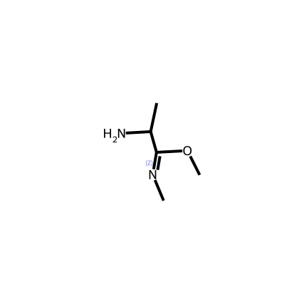 C/N=C(\OC)C(C)N